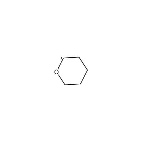 [C]1CCCCO1